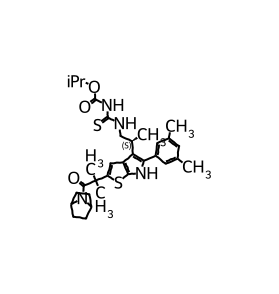 Cc1cc(C)cc(-c2[nH]c3sc(C(C)(C)C(=O)N4C5CCC4CC5)cc3c2[C@H](C)CNC(=S)NC(=O)OC(C)C)c1